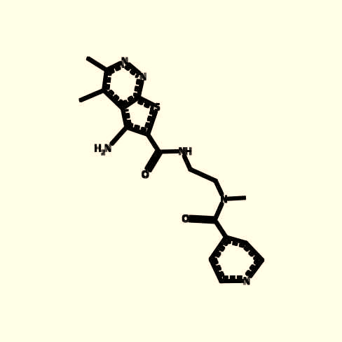 Cc1nnc2sc(C(=O)NCCN(C)C(=O)c3ccncc3)c(N)c2c1C